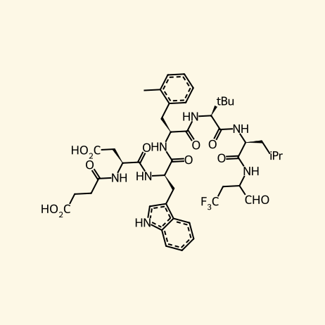 Cc1ccccc1C[C@H](NC(=O)[C@@H](Cc1c[nH]c2ccccc12)NC(=O)[C@H](CC(=O)O)NC(=O)CCC(=O)O)C(=O)N[C@H](C(=O)N[C@@H](CC(C)C)C(=O)NC(C=O)CC(F)(F)F)C(C)(C)C